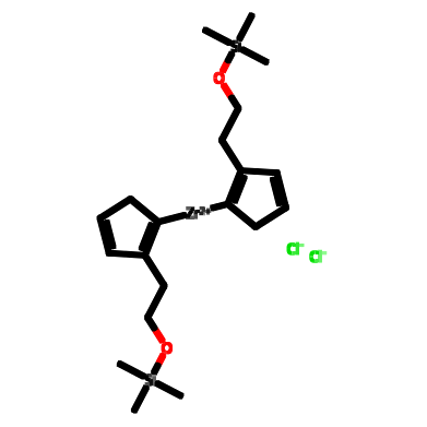 C[Si](C)(C)OCCC1=[C]([Zr+2][C]2=C(CCO[Si](C)(C)C)C=CC2)CC=C1.[Cl-].[Cl-]